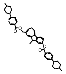 C=C(/C=C\C(=C/C)C(=O)OCC1=CCC=C2C(=C1)C(C)c1cc(OC(=O)c3ccc(C4CCC(C)CC4)cc3)ccc12)C1CCC(C)CC1